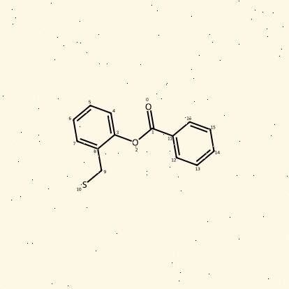 O=C(Oc1ccccc1C[S])c1ccccc1